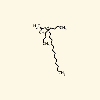 C=C(C)C[PH](CCCC)(CCCC)CCCCCCCCCCCCC